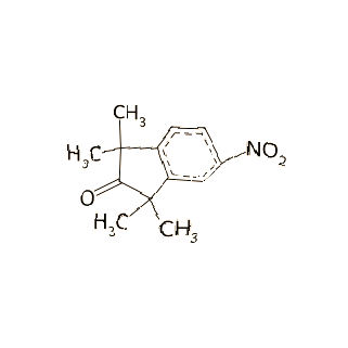 CC1(C)C(=O)C(C)(C)c2cc([N+](=O)[O-])ccc21